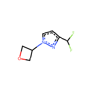 FC(F)c1ccn(C2COC2)n1